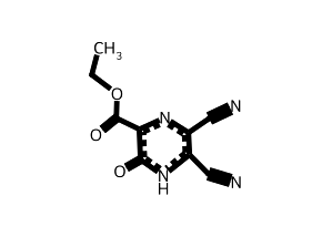 CCOC(=O)c1nc(C#N)c(C#N)[nH]c1=O